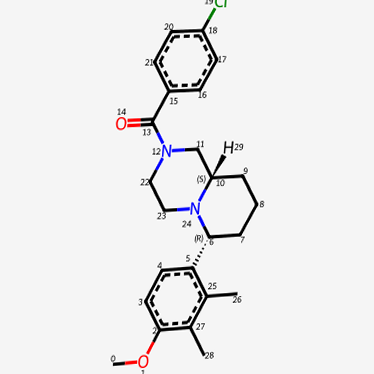 COc1ccc([C@H]2CCC[C@H]3CN(C(=O)c4ccc(Cl)cc4)CCN32)c(C)c1C